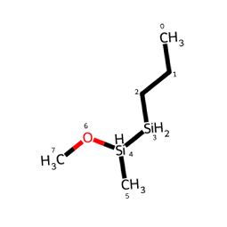 CCC[SiH2][SiH](C)OC